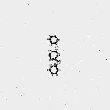 c1ccc(Nc2ncnc(Nc3ccccc3)n2)cc1